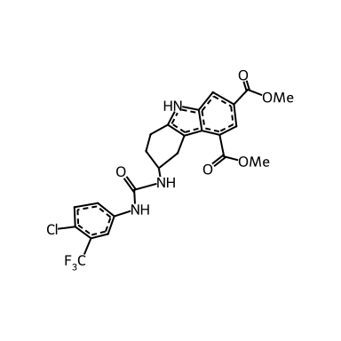 COC(=O)c1cc(C(=O)OC)c2c3c([nH]c2c1)CCC(NC(=O)Nc1ccc(Cl)c(C(F)(F)F)c1)C3